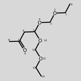 CCOCOC(CC(C)=O)OCOCC